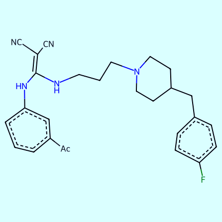 CC(=O)c1cccc(NC(NCCCN2CCC(Cc3ccc(F)cc3)CC2)=C(C#N)C#N)c1